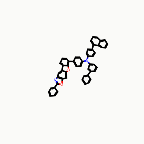 c1ccc(-c2cccc(N(c3ccc(-c4cccc5ccccc45)cc3)c3ccc(-c4cccc5c4oc4cc6oc(-c7ccccc7)nc6cc45)cc3)c2)cc1